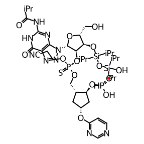 CC(C)C(=O)Nc1nc2c(nnn2[C@@H]2O[C@H](CO)[C@@H](O[Si](O[Si](O)(C(C)C)C(C)C)(C(C)C)C(C)C)[C@H]2O[P@@](=S)(OCCC#N)OC[C@H]2C[C@@H](Oc3ccncn3)C[C@@H]2O[PH](=O)O)c(=O)[nH]1